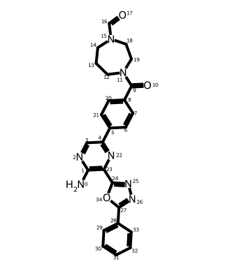 Nc1ncc(-c2ccc(C(=O)N3CCCN(C=O)CC3)cc2)nc1-c1nnc(-c2ccccc2)o1